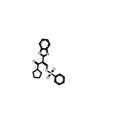 O=C(/C(=C\OS(=O)(=O)c1ccccc1)c1nc2ccccc2o1)C1CCCC1